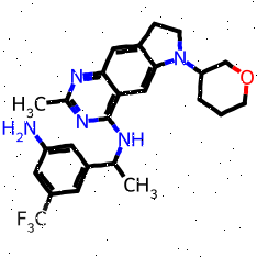 Cc1nc(NC(C)c2cc(N)cc(C(F)(F)F)c2)c2cc3c(cc2n1)CCN3C1CCCOC1